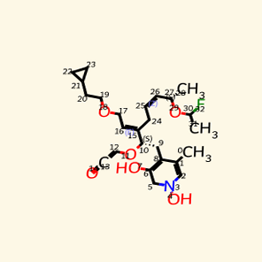 CC1=CN(O)CC(O)=C1C[C@H](OC=C=O)/C(=C/COCCC1CC1)C/C=C\[C@H](C)OC(C)F